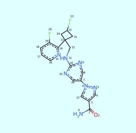 NC(=O)c1cnn(-c2cnc(NCC3(c4ncccc4F)CC(F)C3)nc2)c1